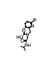 CC(C)NC(=O)CN(Cc1cccc(Br)n1)C(=O)O